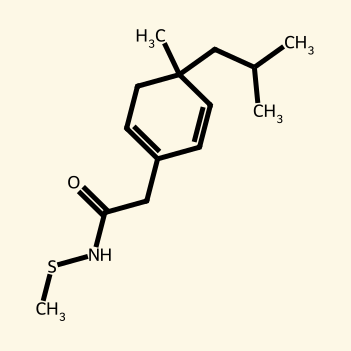 CSNC(=O)CC1=CCC(C)(CC(C)C)C=C1